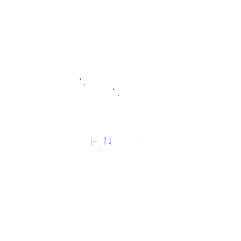 CC(C)(C)C(N)Cn1ccnc1